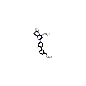 COCc1cccc(-c2ccc(-c3cc(C(=O)O)c4cc(C(F)(F)F)ccc4n3)cc2F)c1